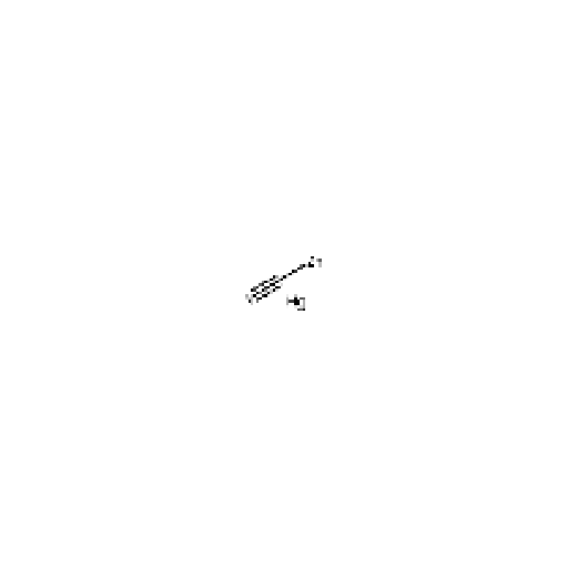 N#[C][Zn].[Hg]